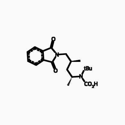 C[C@@H](C[C@@H](C)N(C(=O)O)C(C)(C)C)CN1C(=O)c2ccccc2C1=O